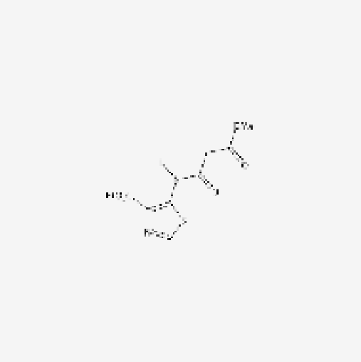 CCOC(=O)c1ncsc1N(I)C(=O)CC(=O)OC